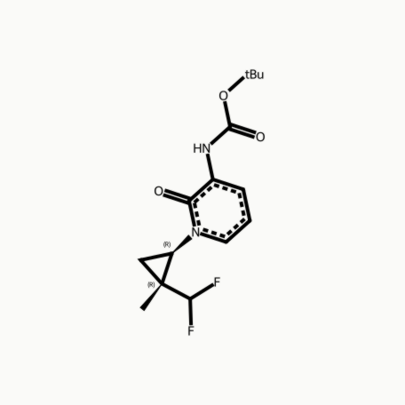 CC(C)(C)OC(=O)Nc1cccn([C@@H]2C[C@@]2(C)C(F)F)c1=O